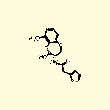 Cc1cccc2c1OB(O)[C@@H](NC(=O)Cc1cccs1)CO2